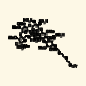 CCCOCCOCCOCCO[C@H]1[C@H](OC)[C@@H](OC)[C@@H](O[C@H]2[C@H](OC)[C@@H](OC)[C@H](O[C@H]3[C@H](OS(=O)(=O)O)[C@@H](OS(=O)(=O)O)[C@@H](O[C@H]4[C@H](OC)[C@@H](OC)[C@H](O[C@H]5[C@H](OC)[C@@H](OS(=O)(=O)O)[C@@H](OC)O[C@@H]5COS(=O)(=O)O)O[C@H]4C(=O)O)O[C@@H]3COS(=O)(=O)O)O[C@@H]2C(=O)O)O[C@@H]1COS(=O)(=O)O